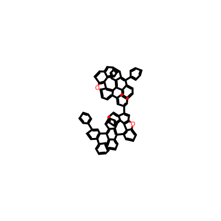 c1ccc(-c2ccc(-c3ccccc3)c(-c3c4ccccc4c(-c4cccc5oc6cc(-c7cccc(-c8ccc9oc%10ccc%11ccccc%11c%10c9c8-c8c9ccccc9c(-c9ccccc9)c9ccccc89)c7)c7ccccc7c6c45)c4ccccc34)c2)cc1